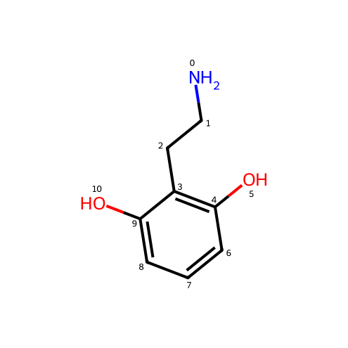 NCCc1c(O)cccc1O